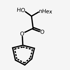 CCCCCCC(O)C(=O)Oc1ccccc1